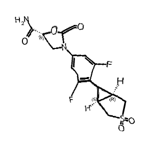 NC(=O)[C@H]1CN(c2cc(F)c(C3[C@H]4CS(=O)(=O)C[C@@H]34)c(F)c2)C(=O)O1